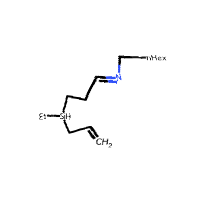 C=CC[SiH](CC)CCC=NCCCCCCC